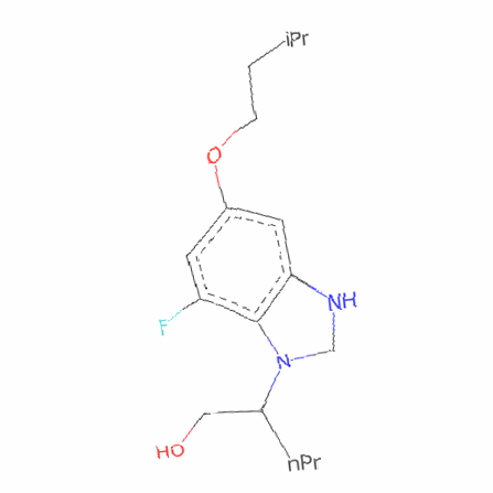 CCCC(CO)N1CNc2cc(OCCC(C)C)cc(F)c21